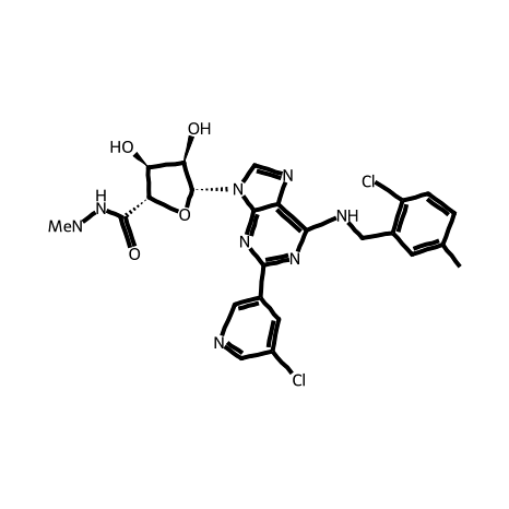 CNNC(=O)[C@H]1O[C@@H](n2cnc3c(NCc4cc(C)ccc4Cl)nc(-c4cncc(Cl)c4)nc32)[C@H](O)[C@@H]1O